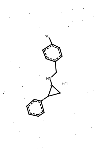 Cl.N#Cc1ccc(CNC2CC2c2ccccc2)cc1